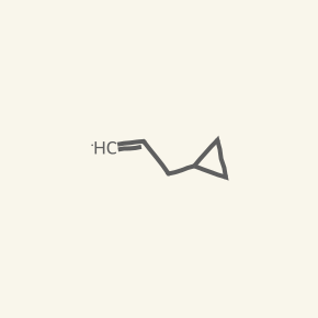 [CH]=CCC1CC1